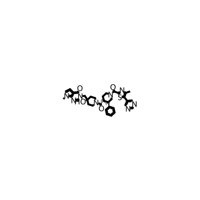 Cc1nc(C(=O)N2CC[C@@H](C(=O)N3CCC(O)(Cn4cnc5c(ccn5C)c4=O)CC3)[C@H](c3ccccc3)C2)sc1-c1cncnc1